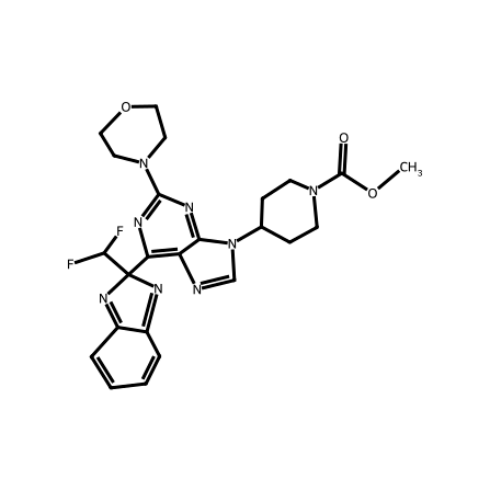 COC(=O)N1CCC(n2cnc3c(C4(C(F)F)N=c5ccccc5=N4)nc(N4CCOCC4)nc32)CC1